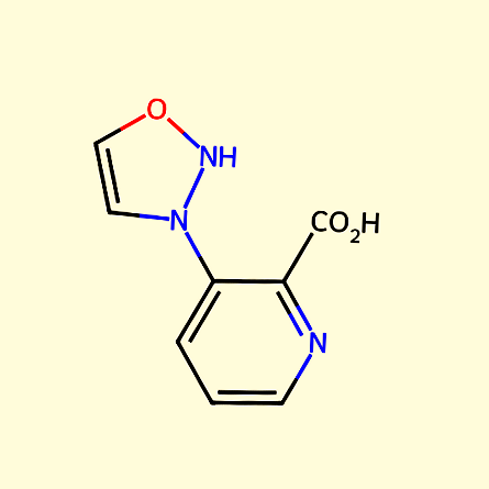 O=C(O)c1ncccc1N1C=CON1